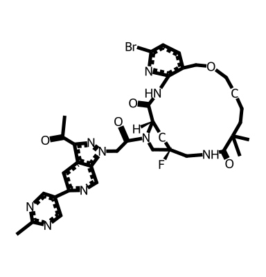 CC(=O)c1nn(CC(=O)N2C[C@@]3(F)CNC(=O)C(C)(C)CCCCOCc4ccc(Br)nc4NC(=O)[C@@H]2C3)c2cnc(-c3cnc(C)nc3)cc12